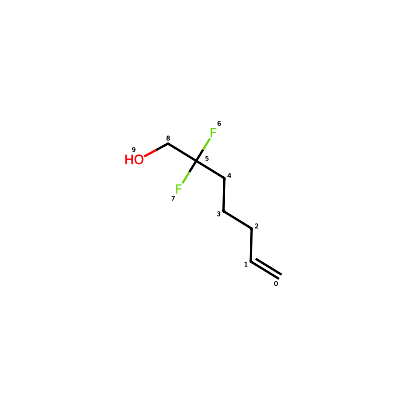 C=CCCCC(F)(F)CO